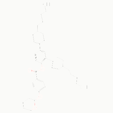 CCCCCC1CCC(c2ccc(OC(=O)c3ccc(OC4CCCCO4)cc3)c(C3CCC(CCCCC)CC3)c2)CC1